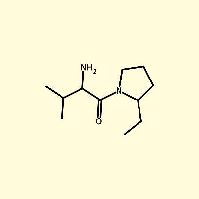 CCC1CCCN1C(=O)C(N)C(C)C